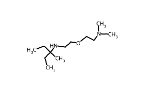 CCC(C)(CC)NCCOCCN(C)C